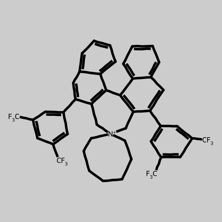 FC(F)(F)c1cc(-c2cc3ccccc3c3c2C[N+]2(CCCCCCC2)Cc2c(-c4cc(C(F)(F)F)cc(C(F)(F)F)c4)cc4ccccc4c2-3)cc(C(F)(F)F)c1